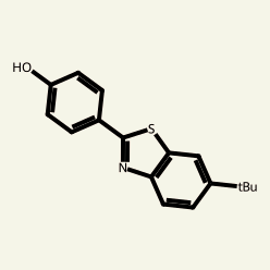 CC(C)(C)c1ccc2nc(-c3ccc(O)cc3)sc2c1